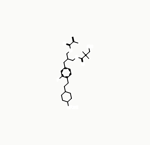 C=C(C)C(=O)OCC(COC(=O)C(C)(C)CO)Cc1ccc(CCC2CCC(CCCCC)CC2)c(F)c1